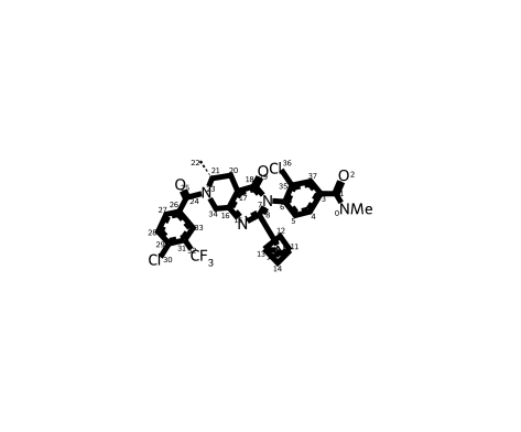 CNC(=O)c1ccc(-n2c(N3CC4CC3C4)nc3c(c2=O)C[C@@H](C)N(C(=O)c2ccc(Cl)c(C(F)(F)F)c2)C3)c(Cl)c1